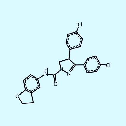 O=C(Nc1ccc2c(c1)CCO2)N1CC(c2ccc(Cl)cc2)C(c2ccc(Cl)cc2)=N1